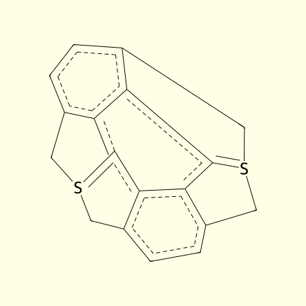 c1cc2c3c4c5c(ccc6c5c5c3c1CS=5C6)CS=4C2